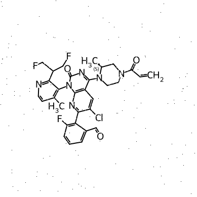 C=CC(=O)N1CCN(c2nc(=O)n(-c3c(C)ccnc3C(CF)CF)c3nc(-c4c(F)cccc4C=O)c(Cl)cc23)[C@@H](C)C1